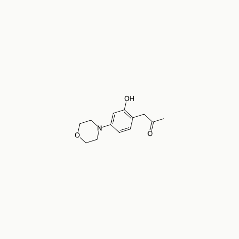 CC(=O)Cc1ccc(N2CCOCC2)cc1O